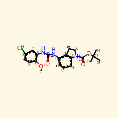 COc1ccc(Cl)cc1NC(=O)Nc1cccc2c1CCN2C(=O)OC(C)(C)C